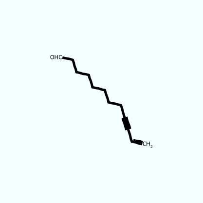 C=CC#CCCCCCCCC=O